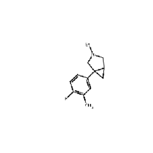 CCN1CC2CC2(c2ccc(F)c(C)c2)C1